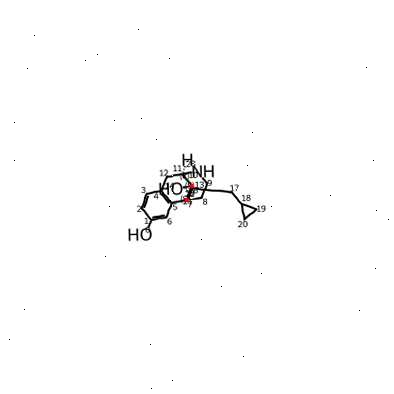 Oc1ccc2c(c1)[C@]13CCN[C@H](C2)[C@]1(O)CC(CC1CC1)CC3